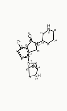 O=C1c2c(F)ccc(N3CC4CC3CN4)c2CN1C1CCCNC1